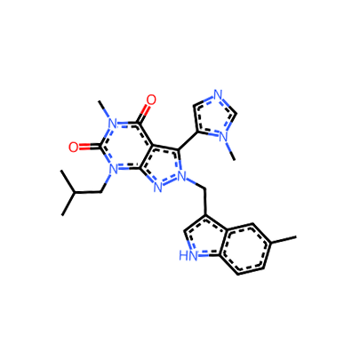 Cc1ccc2[nH]cc(Cn3nc4c(c3-c3cncn3C)c(=O)n(C)c(=O)n4CC(C)C)c2c1